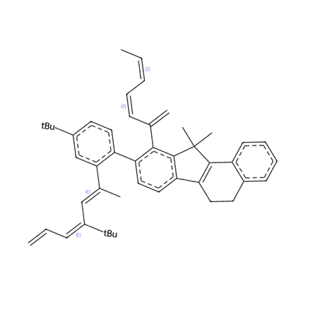 C=C/C=C(\C=C(/C)c1cc(C(C)(C)C)ccc1-c1ccc2c(c1C(=C)/C=C\C=C/C)C(C)(C)C1=C2CCc2ccccc21)C(C)(C)C